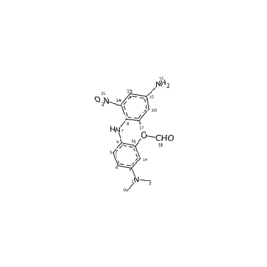 CN(C)c1ccc(Nc2ccc(N)cc2[N+](=O)[O-])c(OC=O)c1